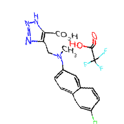 CN(Cc1nn[nH]c1C(=O)O)c1ccc2cc(Cl)ccc2c1.O=C(O)C(F)(F)F